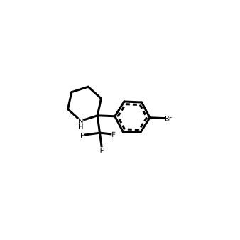 FC(F)(F)C1(c2ccc(Br)cc2)CCCCN1